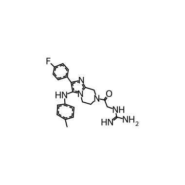 Cc1ccc(Nc2c(-c3ccc(F)cc3)nc3n2CCN(C(=O)CNC(=N)N)C3)cc1